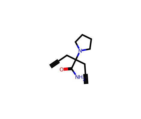 C#CCC(CC#C)(C(N)=O)N1CCCC1